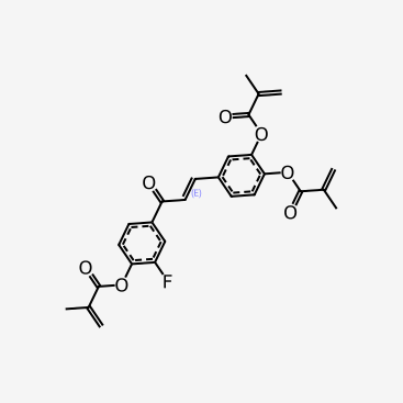 C=C(C)C(=O)Oc1ccc(C(=O)/C=C/c2ccc(OC(=O)C(=C)C)c(OC(=O)C(=C)C)c2)cc1F